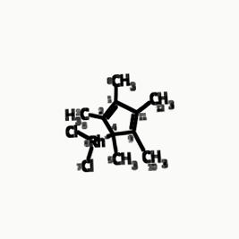 CC1=C(C)[C](C)([Rh-]([Cl])[Cl])C(C)=C1C